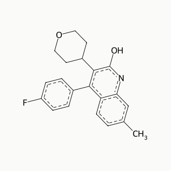 Cc1ccc2c(-c3ccc(F)cc3)c(C3CCOCC3)c(O)nc2c1